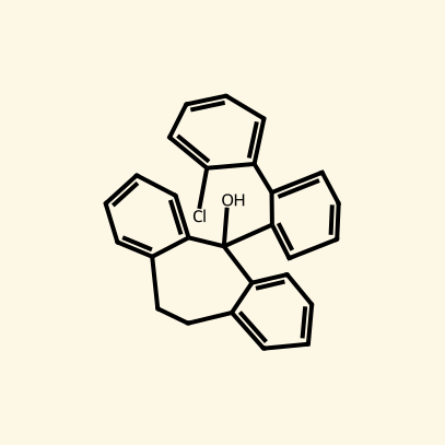 OC1(c2ccccc2-c2ccccc2Cl)c2ccccc2CCc2ccccc21